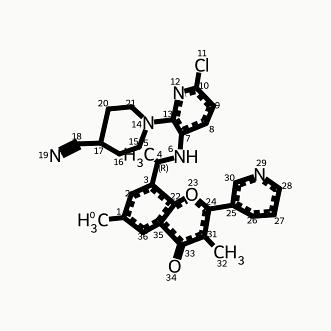 Cc1cc([C@@H](C)Nc2ccc(Cl)nc2N2CCC(C#N)CC2)c2oc(-c3cccnc3)c(C)c(=O)c2c1